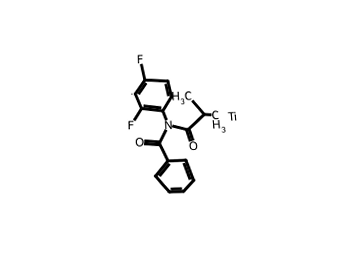 CC(C)C(=O)N(C(=O)c1ccccc1)c1ccc(F)[c]c1F.[Ti]